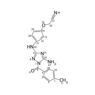 Cc1ccc(C(=O)n2nc(Nc3ccc(OCC#N)cc3)nc2N)cc1